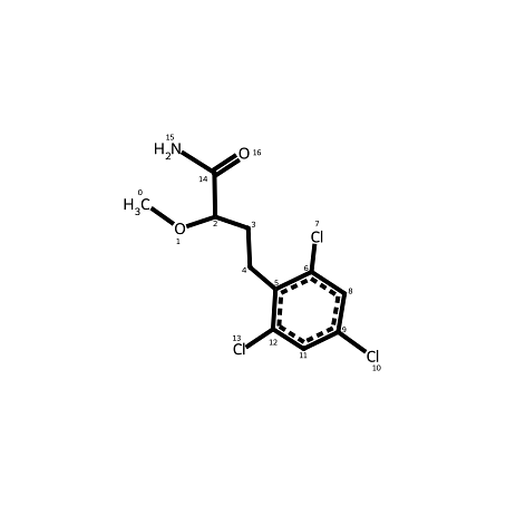 CO[C](CCc1c(Cl)cc(Cl)cc1Cl)C(N)=O